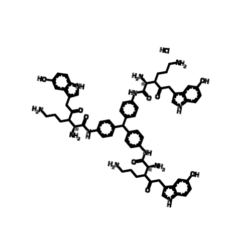 Cl.NCCCC(C(=O)Cc1c[nH]c2ccc(O)cc12)[C@H](N)C(=O)Nc1ccc(C(c2ccc(NC(=O)[C@@H](N)C(CCCN)C(=O)Cc3c[nH]c4ccc(O)cc34)cc2)c2ccc(NC(=O)[C@@H](N)C(CCCN)C(=O)Cc3c[nH]c4ccc(O)cc34)cc2)cc1